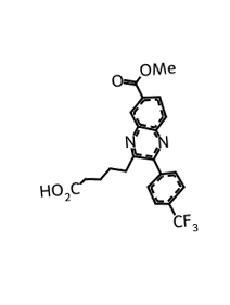 COC(=O)c1ccc2nc(-c3ccc(C(F)(F)F)cc3)c(CCCCC(=O)O)nc2c1